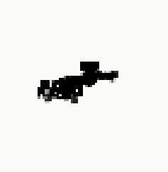 CC(C)(C)n1ncc(OCc2ccc(CCCCF)c([N+](=O)[O-])c2)c(Cl)c1=O